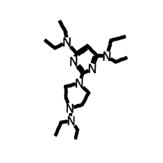 CCN(CC)c1cc(N(CC)CC)nc(N2CCN(N(CC)CC)CC2)n1